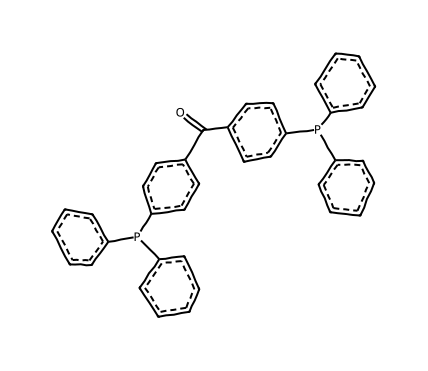 O=C(c1ccc(P(c2ccccc2)c2ccccc2)cc1)c1ccc(P(c2ccccc2)c2ccccc2)cc1